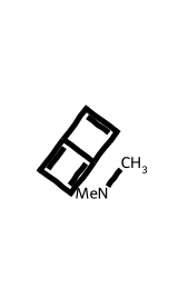 CNC.c1cc2ccc1-2